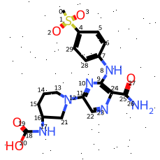 CS(=O)(=O)c1ccc(Nc2nc(N3CCCC(NC(=O)O)C3)cnc2C(N)=O)cc1